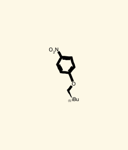 CC[C@H](C)COc1ccc([N+](=O)[O-])cc1